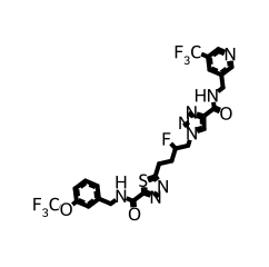 O=C(NCc1cncc(C(F)(F)F)c1)c1cn(CC(F)CCc2nnc(C(=O)NCc3cccc(OC(F)(F)F)c3)s2)nn1